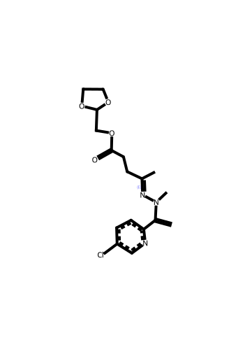 C=C(c1ccc(Cl)cn1)N(C)/N=C(\C)CCC(=O)OCC1OCCO1